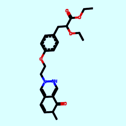 CCOC(=O)C(Cc1ccc(OCCN2C=C3C=CC(C)C(=O)C3=CN2)cc1)OCC